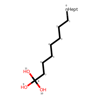 CCCCCCCCCCCCCCC(O)(O)O